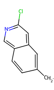 [CH2]c1ccc2cnc(Cl)cc2c1